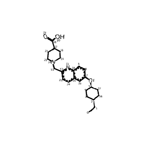 CC[C@H]1CC[C@@H](Oc2ccc3nc(CN4CCC(C(=O)O)CC4)ccc3c2)CC1